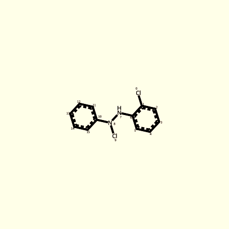 Clc1ccccc1NN(Cl)c1ccccc1